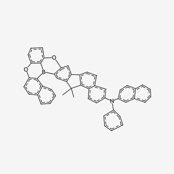 CC1(C)c2cc3c(cc2-c2ccc4cc(N(c5ccccc5)c5ccc6ccccc6c5)ccc4c21)Oc1cccc2c1B3c1c(ccc3ccccc13)O2